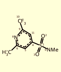 CNS(=O)(=O)c1cc(C)nc(C(F)(F)F)c1